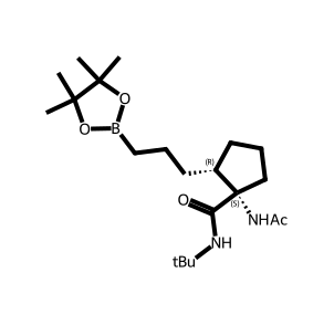 CC(=O)N[C@@]1(C(=O)NC(C)(C)C)CCC[C@H]1CCCB1OC(C)(C)C(C)(C)O1